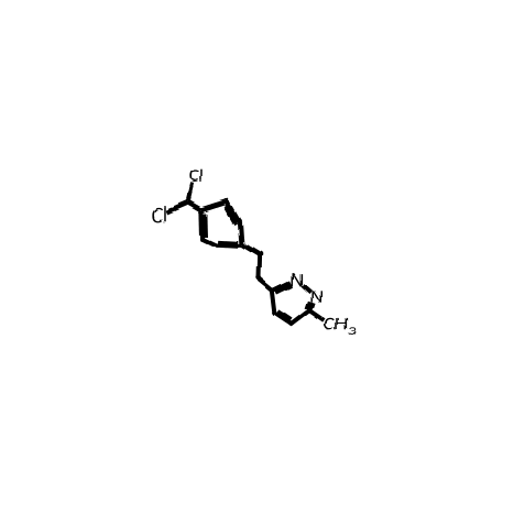 Cc1ccc(CCc2ccc(C(Cl)Cl)cc2)nn1